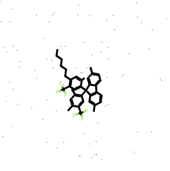 CCCCCCc1cc(C)c(C2(c3cc(C(F)(F)F)c(C)cc3C)c3cc(C)ccc3-c3ccc(C)cc32)cc1C(F)(F)F